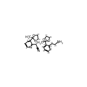 CC1(c2cccnc2CC#N)OCCO1.CC1(c2cccnc2CCN)OCCO1